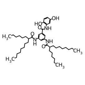 CCCCCCCCC(CCCCCC)C(=O)Nc1cc(NC(=O)C(CCCCCC)CCCCCCCC)cc(C(=O)Nc2cc(O)ccc2O)c1